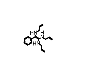 C=CCNC(NCC=C)=C(NCC=C)c1ccccc1